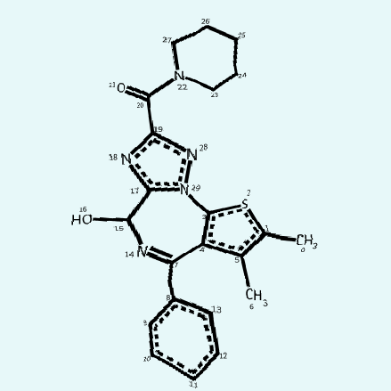 Cc1sc2c(c1C)C(c1ccccc1)=NC(O)c1nc(C(=O)N3CCCCC3)nn1-2